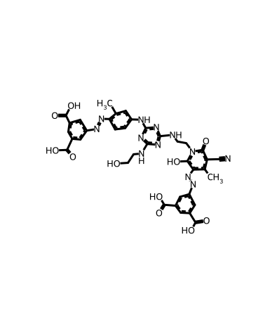 Cc1cc(Nc2nc(NCCO)nc(NCCn3c(O)c(N=Nc4cc(C(=O)O)cc(C(=O)O)c4)c(C)c(C#N)c3=O)n2)ccc1N=Nc1cc(C(=O)O)cc(C(=O)O)c1